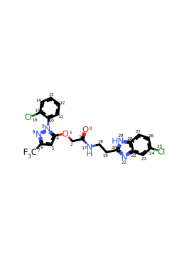 O=C(COc1cc(C(F)(F)F)nn1-c1ccccc1Cl)NCCc1nc2cc(Cl)ccc2[nH]1